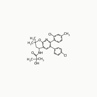 Cc1ccc(-c2nc3c(cc2-c2ccc(Cl)cc2)C(NC(=O)C(C)(C)O)CC(C)(C)O3)c(Cl)c1